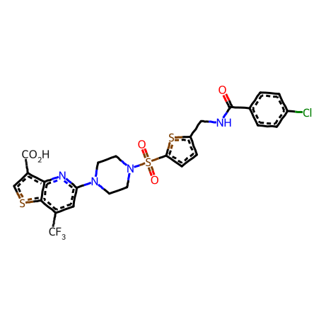 O=C(NCc1ccc(S(=O)(=O)N2CCN(c3cc(C(F)(F)F)c4scc(C(=O)O)c4n3)CC2)s1)c1ccc(Cl)cc1